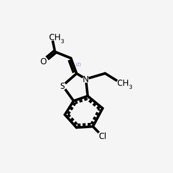 CCN1/C(=C/C(C)=O)Sc2ccc(Cl)cc21